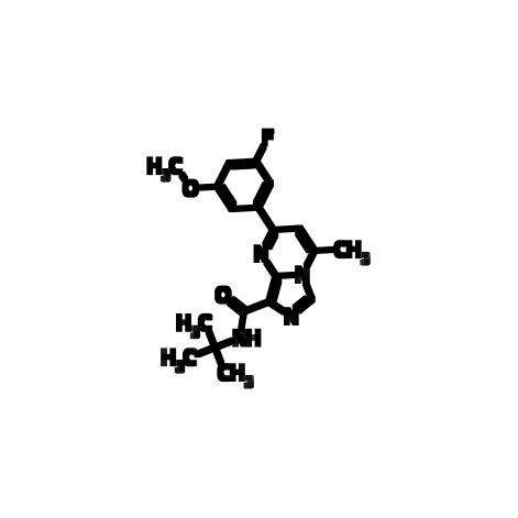 COc1cc(F)cc(-c2cc(C)n3cnc(C(=O)NC(C)(C)C)c3n2)c1